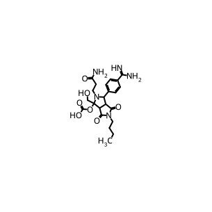 CCCCN1C(=O)C2C(c3ccc(C(=N)N)cc3)N(CCC(N)=O)C(CO)(OC(=O)O)C2C1=O